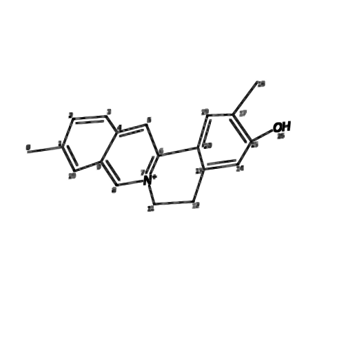 Cc1ccc2cc3[n+](cc2c1)CCc1cc(O)c(C)cc1-3